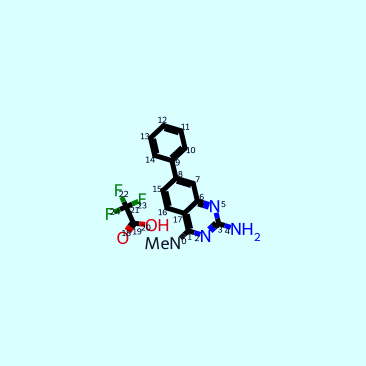 CNc1nc(N)nc2cc(-c3ccccc3)ccc12.O=C(O)C(F)(F)F